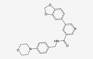 O=C(NCc1ccc(N2CCOCC2)cc1)c1cncc(-c2ccc3c(c2)OCO3)c1